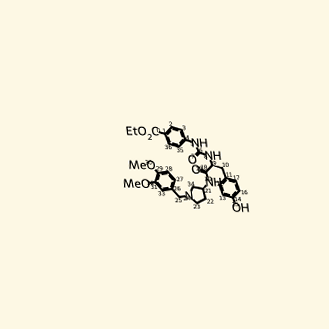 CCOC(=O)c1ccc(NC(=O)N[C@@H](Cc2ccc(O)cc2)C(=O)N[C@H]2CCN(Cc3ccc(OC)c(OC)c3)C2)cc1